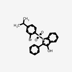 CC(C)c1ccc(S(=O)(=O)n2c(-c3ccccc3)c(O)c3ccccc32)c(Br)c1